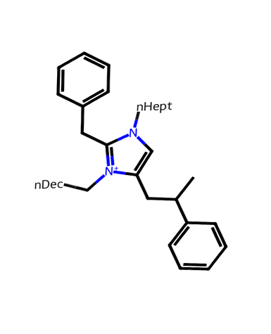 CCCCCCCCCCC[n+]1c(CC(C)c2ccccc2)cn(CCCCCCC)c1Cc1ccccc1